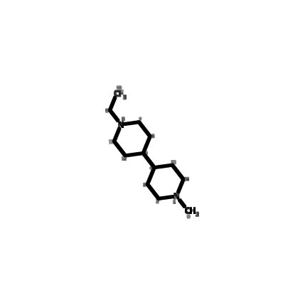 CN1CCC(C2CCN(CC(F)(F)F)CC2)CC1